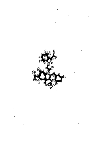 CNc1ncc(-c2ccc(F)c(C(N)=O)c2)c(C(Cc2cc(F)cc(F)c2)NC(=O)Cn2nc(C(F)F)c3c2C(F)(F)CCC3(F)F)n1